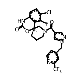 O=C1Nc2ccc(Cl)c(F)c2[C@@]2(CCCN(C(=O)c3cnn(Cc4ccnc(C(F)(F)F)c4)c3)C2)O1